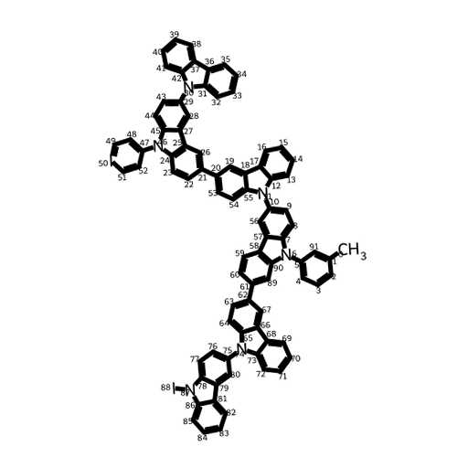 Cc1cccc(-n2c3ccc(-n4c5ccccc5c5cc(-c6ccc7c(c6)c6cc(-n8c9ccccc9c9ccccc98)ccc6n7C6=CC=IC=C6)ccc54)cc3c3ccc(-c4ccc5c(c4)c4ccccc4n5-c4ccc5c(c4)c4ccccc4n5I)cc32)c1